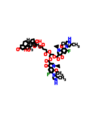 COc1c(N2CCNC(C)C2)c(F)cc2c(=O)c(C(=O)OCC(COC(=O)c3cn(C4CC4)c4c(OC)c(N5CCNC(C)C5)c(F)cc4c3=O)OC(=O)CCC(=O)OCC(=O)[C@@]3(O)CC[C@H]4[C@@H]5CCC6=CC(=O)C=C[C@]6(C)C5[C@@H](O)C[C@@]43C)cn(C3CC3)c12